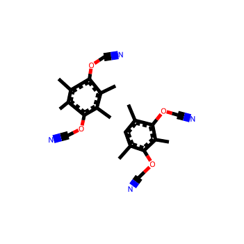 Cc1c(C)c(OC#N)c(C)c(C)c1OC#N.Cc1cc(C)c(OC#N)c(C)c1OC#N